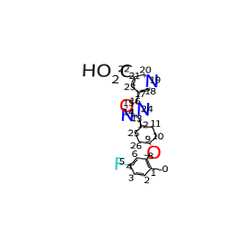 Cc1ccc(F)cc1OC1CCC(c2noc(-c3cncc(C(=O)O)c3)n2)CC1